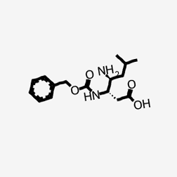 CC(C)C[C@H](N)[C@H](CC(=O)O)NC(=O)OCc1ccccc1